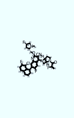 C=C(F)C(=O)N1CC[C@@H]2[C@H]1CN2c1c(C#N)c(OC[C@@H]2C[C@@H](F)CN2C)nc2cc(-c3cccc4ccc(F)c(Cl)c34)c(F)cc12